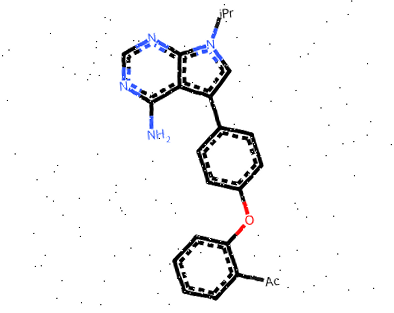 CC(=O)c1ccccc1Oc1ccc(-c2cn(C(C)C)c3ncnc(N)c23)cc1